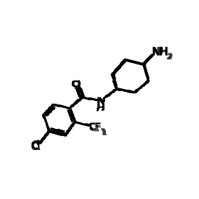 NC1CCC(NC(=O)c2ccc(Cl)cc2C(F)(F)F)CC1